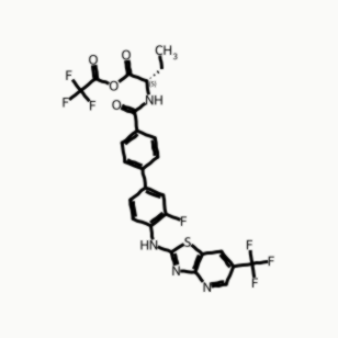 CC[C@H](NC(=O)c1ccc(-c2ccc(Nc3nc4ncc(C(F)(F)F)cc4s3)c(F)c2)cc1)C(=O)OC(=O)C(F)(F)F